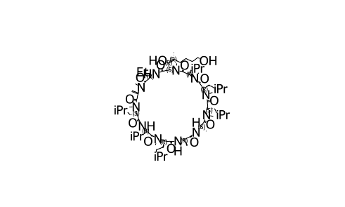 C=C1C(=O)N(C)[C@@H](CC(C)C)C(=O)N[C@H](C(C)C)C(=O)N(C)[C@H](CCC(C)C)C(=O)N[C@H](C)C(=O)N[C@@H](C)C(=O)N(C)[C@@H](CC(C)C)C(=O)N(C)[C@H](CC(C)C)C(=O)N(C)[C@H](C(C)C)C(=O)N(C)[C@@H]([C@H](O)[C@H](C)CCCCO)C(=O)N[C@H](CC)C(=O)N1C